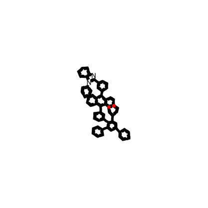 c1ccc(-c2cc(-c3ccccc3)c(-c3cccc(-c4c5ccccc5c(-c5cccc(-c6nc7ccccc7n6-c6ccccc6)c5)c5ccccc45)c3)c(-c3ccccc3)c2)cc1